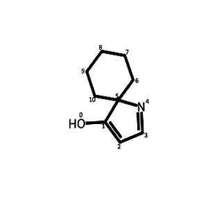 OC1=CC=NC12CCCCC2